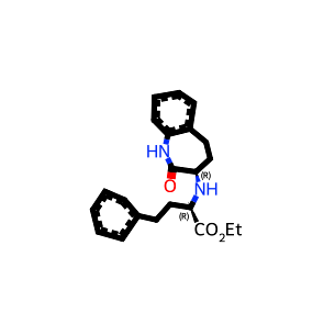 CCOC(=O)[C@@H](CCc1ccccc1)N[C@@H]1CCc2ccccc2NC1=O